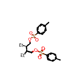 CCC(COS(=O)(=O)c1ccc(C)cc1)[C@@H](CC)COS(=O)(=O)c1ccc(C)cc1